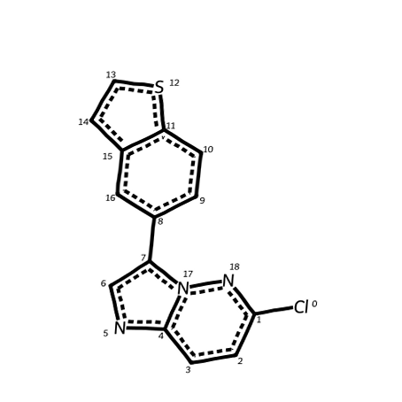 Clc1ccc2ncc(-c3ccc4sccc4c3)n2n1